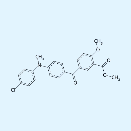 COC(=O)c1cc(C(=O)c2ccc(N(C)c3ccc(Cl)cc3)cc2)ccc1OC